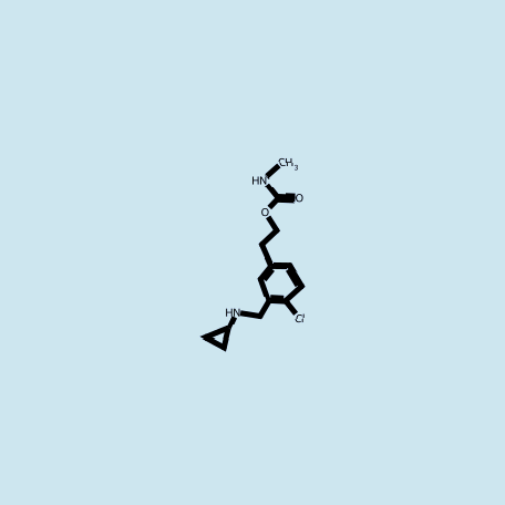 CNC(=O)OCCc1ccc(Cl)c(CNC2CC2)c1